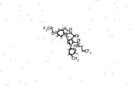 Cc1ccc(-n2nc3c(c2C(=O)NCCC(F)(F)F)C(=O)N[C@@]2(CCc4cc(OCC(F)(F)F)ccc42)C3)nc1